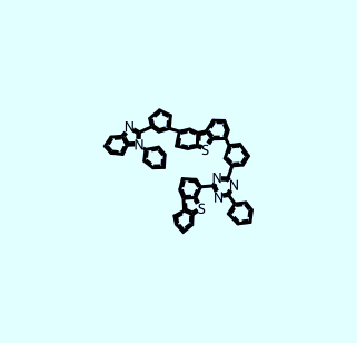 c1ccc(-c2nc(-c3cccc(-c4cccc5c4sc4ccc(-c6cccc(-c7nc8ccccc8n7-c7ccccc7)c6)cc45)c3)nc(-c3cccc4c3sc3ccccc34)n2)cc1